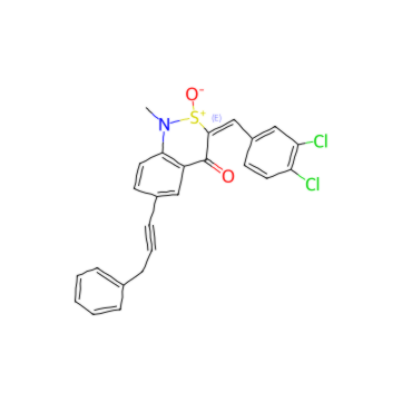 CN1c2ccc(C#CCc3ccccc3)cc2C(=O)/C(=C\c2ccc(Cl)c(Cl)c2)[S+]1[O-]